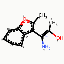 C/C(O)=C(/N)c1c(C)oc2ccccc12